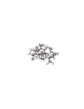 CN(C)C(=O)c1ccc(N2[C@@H]3CC[C@H]2C[C@H](Nc2c(C(N)=O)cnc4[nH]ccc24)C3)nc1